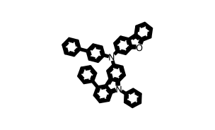 c1ccc(-c2ccc(N(c3ccc4c(c3)oc3ccccc34)c3ccc4c(c3)c3c(-c5ccccc5)cccc3n4-c3ccccc3)cc2)cc1